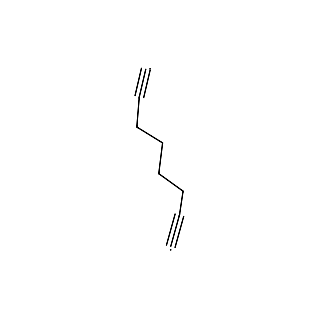 [C]#CCCCCC#[C]